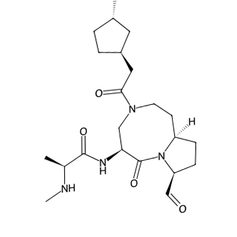 CN[C@@H](C)C(=O)N[C@H]1CN(C(=O)C[C@H]2CC[C@H](O)C2)CC[C@H]2CC[C@@H](C=O)N2C1=O